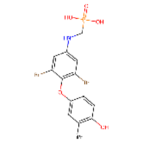 CC(C)c1cc(Oc2c(Br)cc(NCP(=O)(O)O)cc2Br)ccc1O